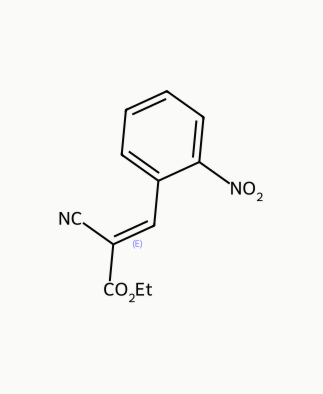 CCOC(=O)/C(C#N)=C/c1ccccc1[N+](=O)[O-]